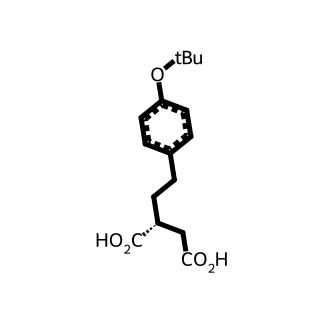 CC(C)(C)Oc1ccc(CC[C@H](CC(=O)O)C(=O)O)cc1